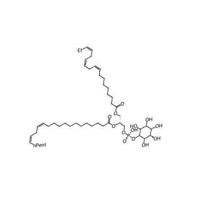 CC/C=C\C/C=C\C/C=C\CCCCCCCC(=O)OC[C@H](COP(=O)(O)OC1C(O)C(O)C(O)[C@@H](O)C1O)OC(=O)CCCCCCCCCCC/C=C\C/C=C\CCCCC